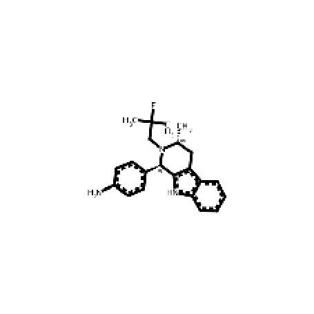 C[C@@H]1Cc2c([nH]c3ccccc23)[C@@H](c2ccc(N)cc2)N1CC(C)(C)F